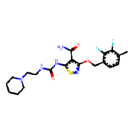 Cc1ccc(COc2nsc(NC(=O)NCCN3CCCCC3)c2C(N)=O)c(F)c1F